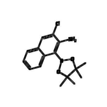 CC1(C)OB(c2c(N)c(Cl)cc3ccccc23)OC1(C)C